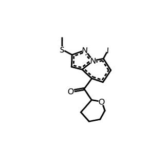 CSc1cc2c(C(=O)C3CCCCO3)ccc(I)n2n1